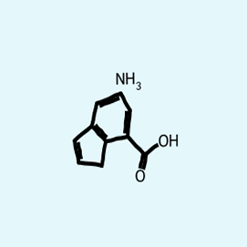 N.O=C(O)c1cccc2c1CC=C2